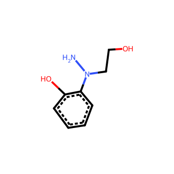 NN(CCO)c1ccccc1O